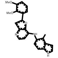 COc1cccc(-c2cc3nccc(Nc4ccc5[nH]ccc5c4C)c3o2)c1OC